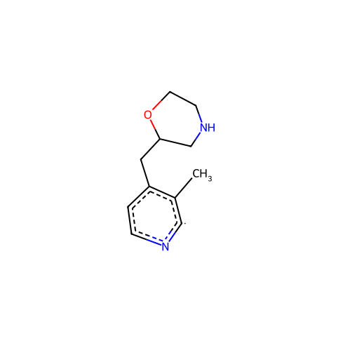 Cc1[c]nccc1CC1CNCCO1